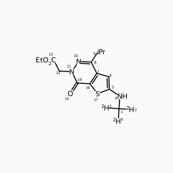 [2H]C([2H])([2H])Nc1cc2c(C(C)C)nn(CC(=O)OCC)c(=O)c2s1